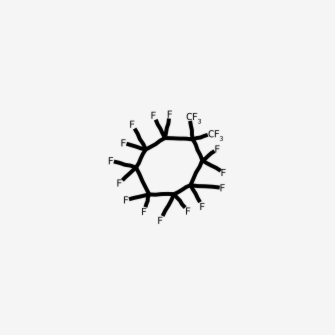 FC(F)(F)C1(C(F)(F)F)C(F)(F)C(F)(F)C(F)(F)C(F)(F)C(F)(F)C(F)(F)C1(F)F